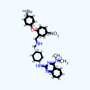 CN(C)c1nc(N[C@H]2CC[C@@H](CNCc3cc([N+](=O)[O-])ccc3Oc3ccc(C(C)(C)C)cc3)CC2)nc2ccccc12